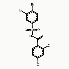 O=C(NS(=O)(=O)c1ccc(Br)c(Br)c1)c1ccc(Cl)cc1Cl